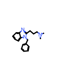 CN(C)CCCc1nc2ccccc2n1Cc1ccccc1